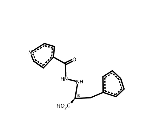 O=C(NN[C@@H](Cc1ccccc1)C(=O)O)c1ccncc1